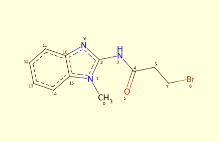 Cn1c(NC(=O)CCBr)nc2ccccc21